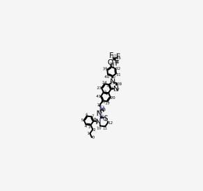 CCCc1ccccc1N1CCCS/C1=N\N=C\c1ccc2c(ccc3c2ncn3-c2ccc(OC(F)(F)F)cc2)c1